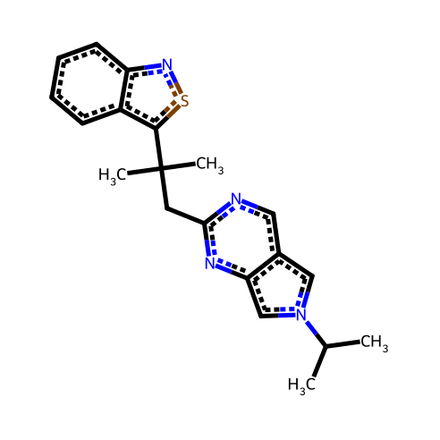 CC(C)n1cc2cnc(CC(C)(C)c3snc4ccccc34)nc2c1